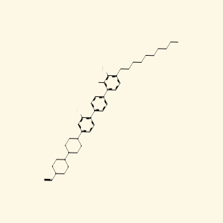 C=CC1CCC(C2CCC(c3ccc(-c4ccc(-c5ccc(CCCCCCCCCC)c(F)c5F)cc4)c(F)c3)CC2)CC1